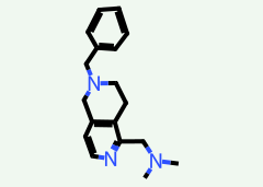 CN(C)Cc1nccc2c1CCN(Cc1ccccc1)C2